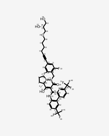 C[C@]12CCCN1N(Cc1c(F)cc(C#CCCCCOC[C@H](O)CO)cc1F)C(=O)C(C(=O)Nc1ccc(C(F)(F)F)cc1-c1ccc(C(F)(F)F)nc1)=C2O